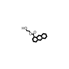 O=C(OCCO)c1cccc2cc3ccccc3cc12